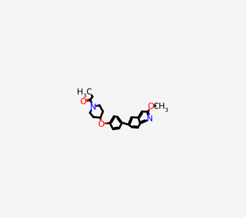 CCC(=O)N1CCC(Oc2ccc(-c3ccc4cnc(OC)cc4c3)cc2)CC1